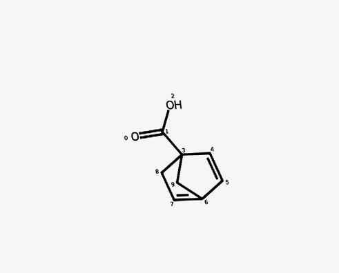 O=C(O)C12C=CC(=CC1)C2